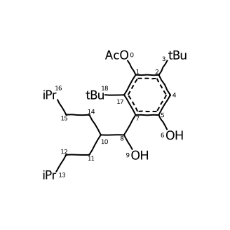 CC(=O)Oc1c(C(C)(C)C)cc(O)c(C(O)C(CCC(C)C)CCC(C)C)c1C(C)(C)C